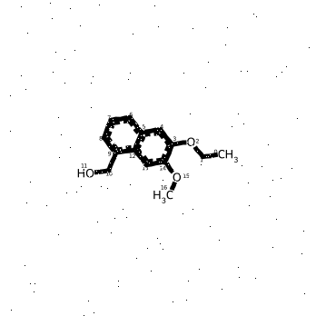 CCOc1cc2cccc(CO)c2cc1OC